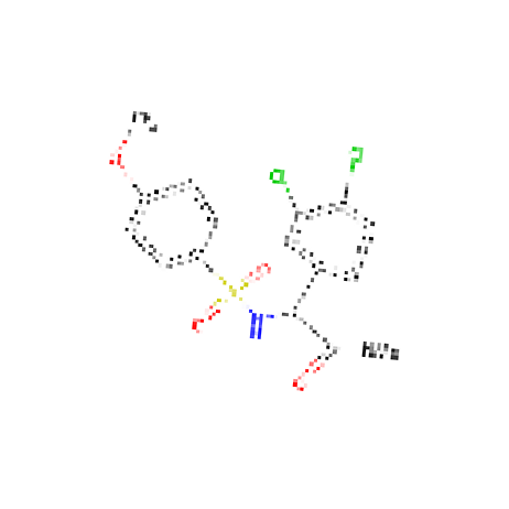 CNC(=O)C(NS(=O)(=O)c1ccc(OC(F)(F)F)cc1)c1ccc(Cl)c(Cl)c1